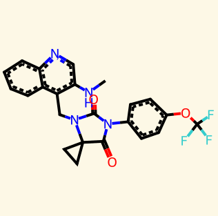 CNc1cnc2ccccc2c1CN1C(=O)N(c2ccc(OC(F)(F)F)cc2)C(=O)C12CC2